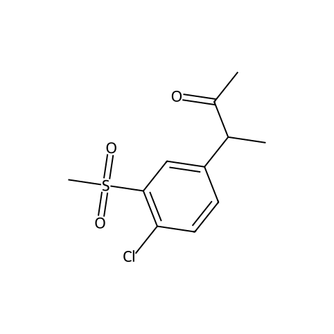 CC(=O)C(C)c1ccc(Cl)c(S(C)(=O)=O)c1